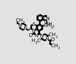 C=CC(=O)N1C[C@H](C)N(c2nc(=O)n3c4c(c(-c5cccc6cnn(C)c56)c(C)cc24)SC[C@@H]3CN2CCN(CC)CC2)C[C@H]1C